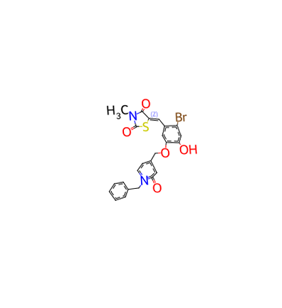 CN1C(=O)S/C(=C\c2cc(OCc3ccn(Cc4ccccc4)c(=O)c3)c(O)cc2Br)C1=O